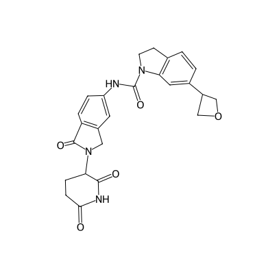 O=C1CCC(N2Cc3cc(NC(=O)N4CCc5ccc(C6COC6)cc54)ccc3C2=O)C(=O)N1